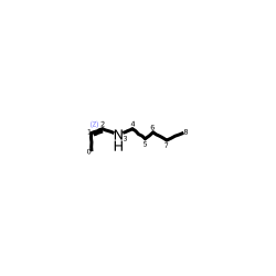 C/C=C\NCCCCC